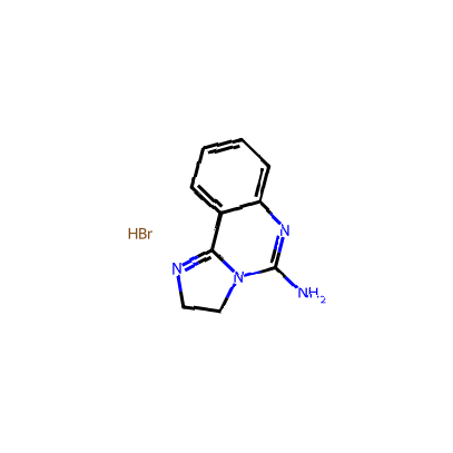 Br.NC1=Nc2ccccc2C2=NCCN12